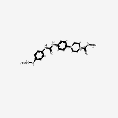 CCCCCCCOc1ccc(NC(=O)Nc2ccc(N3CCN(C(=O)OC(C)(C)C)CC3)cc2)cc1